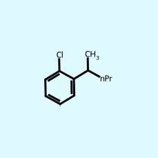 CCCC(C)c1c[c]ccc1Cl